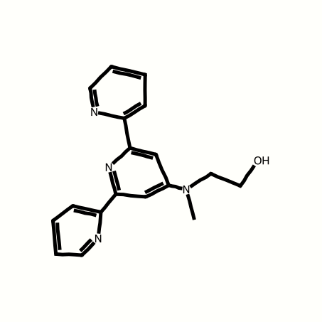 CN(CCO)c1cc(-c2ccccn2)nc(-c2ccccn2)c1